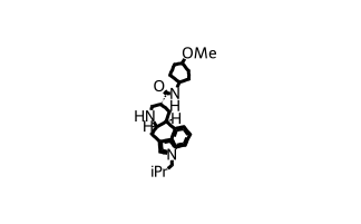 COC1CCC(NC(=O)[C@H]2CN[C@@H]3Cc4cn(CC(C)C)c5cccc(c45)[C@@H]3C2)CC1